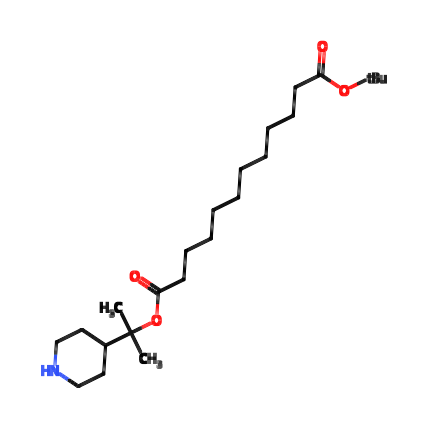 CC(C)(C)OC(=O)CCCCCCCCCCC(=O)OC(C)(C)C1CCNCC1